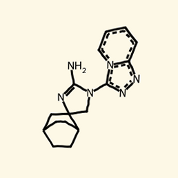 NC1=NC2(CC3CCC2CC3)CN1c1nnc2ccccn12